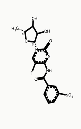 C[C@H]1O[C@@H](n2cc(F)c(NC(=O)c3cccc([N+](=O)[O-])c3)nc2=O)C(O)C1O